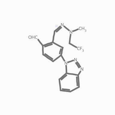 CN(CC(F)(F)F)/N=C\c1cc(-n2nnc3ccccc32)ccc1C=O